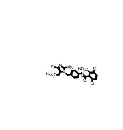 CCCCc1nc(Cl)c(CC(=O)O)n1Cc1ccc(NC(=O)c2c(Cl)ccc(Cl)c2C(=O)O)cc1